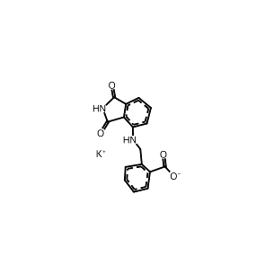 O=C([O-])c1ccccc1CNc1cccc2c1C(=O)NC2=O.[K+]